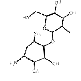 CC1C(OC2C(N)CC(N)C(O)C2O)OC(CO)C(O)C1O